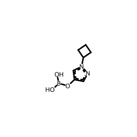 OB(O)Oc1cnn(C2CCC2)c1